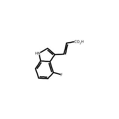 O=C(O)C=Cc1c[nH]c2cccc(F)c12